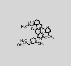 C=C(C=O)CN1CCN(c2nc(=O)n(-c3c(C)ccnc3C(C)C)c3nc(-c4c(F)cccc4CN(C)C)c(F)cc23)[C@@H](C)C1